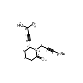 CCCCC#CCN1C(=O)CCC[C@@H]1C#CC(O)CC